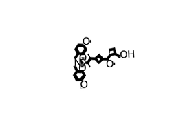 COc1ccc(CN(Cc2ccc(OC)cc2)S(=O)(=O)[C@H](C)[C@@H](C)C2C=C([C@H](OC)[C@@H]3CCC3CO)C2)cc1